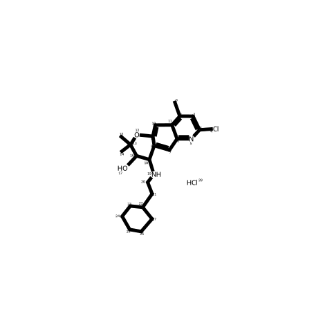 Cc1cc(Cl)nc2cc3c(cc12)OC(C)(C)C(O)C3NCCC1CCCCC1.Cl